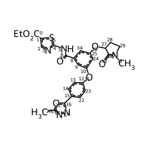 CCOC(=O)c1cnc(NC(=O)c2cc(Oc3ccc(-c4nnc(C)o4)cc3)cc(OC3CCN(C)C3=O)c2)s1